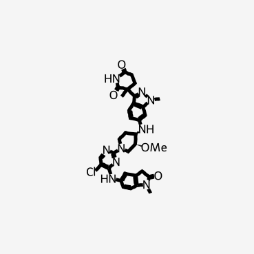 CO[C@@H]1CN(c2ncc(Cl)c(Nc3ccc4c(c3)CC(=O)N4C)n2)CC[C@H]1Nc1ccc2c(C3(C)CCC(=O)NC3=O)nn(C)c2c1